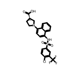 O=C(O)[C@@H]1CCN(c2ccc(NS(=O)(=O)c3ccc(Cl)c(C(F)(F)F)c3)c3ccccc23)C1